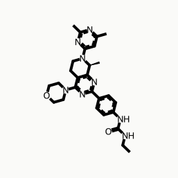 CCNC(=O)Nc1ccc(-c2nc3c(c(N4CCOCC4)n2)CCN(c2cc(C)nc(C)n2)[C@H]3C)cc1